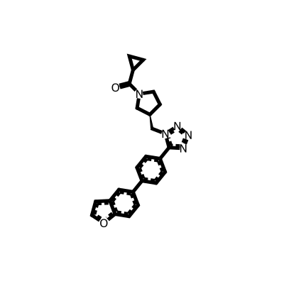 O=C(C1CC1)N1CC[C@@H](Cn2nnnc2-c2ccc(-c3ccc4occc4c3)cc2)C1